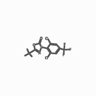 CC(C)(C)c1nn(-c2c(Cl)cc(C(F)(F)F)cc2Cl)c(=O)o1